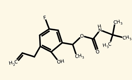 C=CCc1cc(F)cc(C(C)OC(=O)NC(C)(C)C)c1O